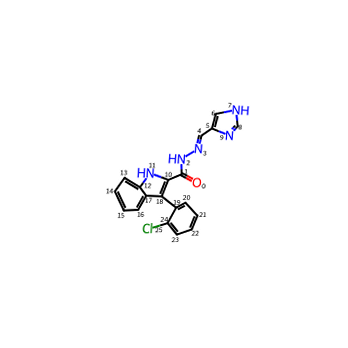 O=C(NN=Cc1c[nH]cn1)c1[nH]c2ccccc2c1-c1ccccc1Cl